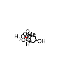 COC(=O)N1C2CC(O)C[C@H]1CN(C)C2=O